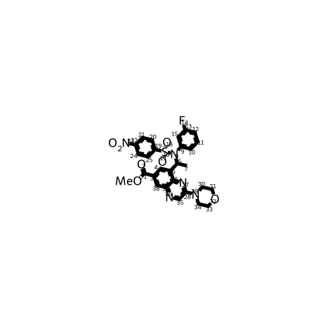 COC(=O)c1cc(C(C)N(c2cccc(F)c2)S(=O)(=O)c2ccc([N+](=O)[O-])cc2)c2nc(N3CCOCC3)cnc2c1